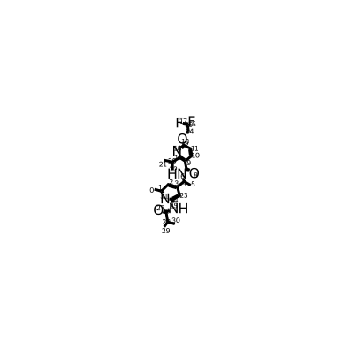 Cc1cc(C(C)NC(=O)c2ccc(OCC(F)F)nc2C(C)C)cc(NC(=O)C(C)C)n1